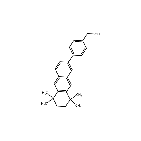 CC1(C)CCC(C)(C)c2cc3cc(-c4ccc(CO)cc4)ccc3cc21